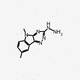 Cc1ccc2c(c1)c1nnc(NN)nc1n2C